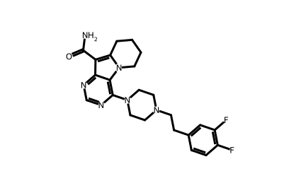 NC(=O)c1c2n(c3c(N4CCN(CCc5ccc(F)c(F)c5)CC4)ncnc13)CCCC2